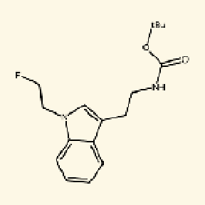 CC(C)(C)OC(=O)NCCc1cn(CCF)c2ccccc12